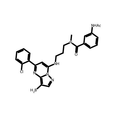 Bc1cnn2c(NCCCN(C)C(=O)c3cccc(NC(C)=O)c3)cc(-c3ccccc3Cl)nc12